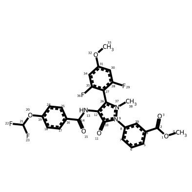 COC(=O)c1cccc(-n2c(=O)c(NC(=O)c3ccc(OC(F)F)cc3)c(-c3c(F)cc(OC)cc3F)n2C)c1